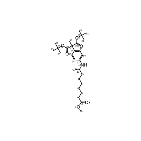 COC(=O)CCCCCCC(=O)Nc1ccc(C(C)(C(=O)OC(C)(C)C)C(=O)OC(C)(C)C)cc1